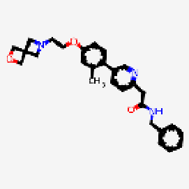 Cc1cc(OCCN2CC3(COC3)C2)ccc1-c1ccc(CC(=O)NCc2ccccc2)nc1